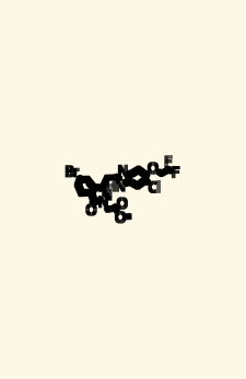 COC(=O)Cn1nc(Cc2nc3cc(OCC(F)F)c(Cl)cc3[nH]2)c2cc(Br)ccc2c1=O